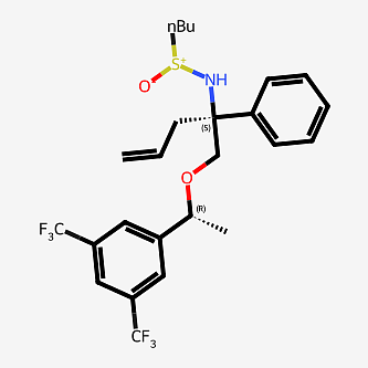 C=CC[C@](CO[C@H](C)c1cc(C(F)(F)F)cc(C(F)(F)F)c1)(N[S+]([O-])CCCC)c1ccccc1